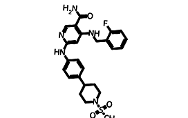 CS(=O)(=O)N1CCC(c2ccc(Nc3cc(NCc4ccccc4F)c(C(N)=O)cn3)cc2)CC1